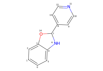 c1ccc2c(c1)NC(c1ccncc1)O2